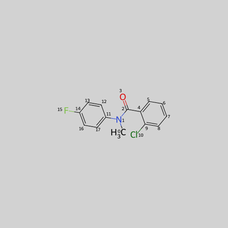 CN(C(=O)c1ccccc1Cl)c1ccc(F)cc1